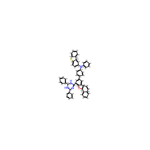 c1ccc(C2N=C(c3cc(-c4ccc(N(c5ccccc5)c5ccc6sc7ccccc7c6c5)cc4)cc4c3oc3c5ccccc5ccc43)NC(c3ccccc3)N2)cc1